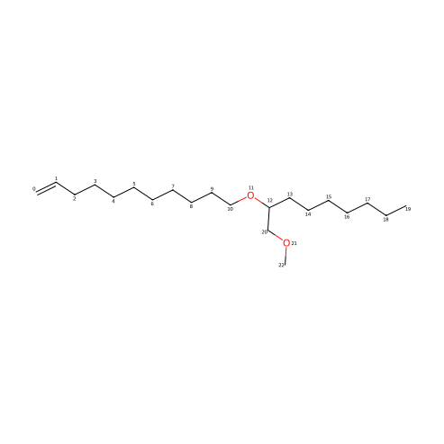 C=CCCCCCCCCCOC(CCCCCCC)COC